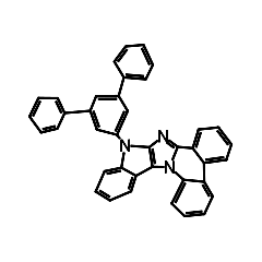 c1ccc(-c2cc(-c3ccccc3)cc(-n3c4ccccc4c4c3nc3c5ccccc5c5ccccc5n34)c2)cc1